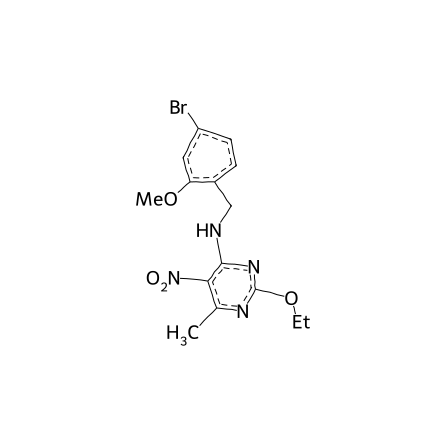 CCOc1nc(C)c([N+](=O)[O-])c(NCc2ccc(Br)cc2OC)n1